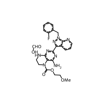 COCCOC(=O)N1CCNc2nc(-c3nn(Cc4ccccc4F)c4ncccc34)nc(N)c21.O=CO